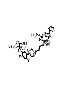 CC(C)(Oc1cc(N2CCN(CCNc3nc(N)n4nc(-c5ccco5)nc4n3)CC2)c(F)cc1F)C(=O)O